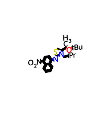 CC(C)CN1/C(=N/c2ccc([N+](=O)[O-])c3ccccc23)SC[C@H]1[C@H](C)OC(C)(C)C